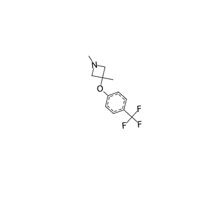 CN1CC(C)(Oc2ccc(C(F)(F)F)cc2)C1